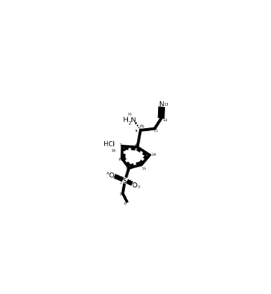 CCS(=O)(=O)c1ccc([C@H](N)CC#N)cc1.Cl